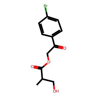 CC(CO)C(=O)OCC(=O)c1ccc(Br)cc1